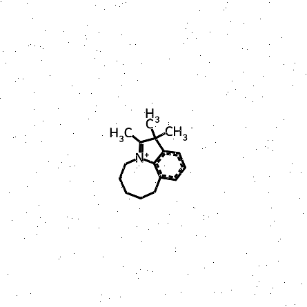 CC1=[N+]2CCCCCc3cccc(c32)C1(C)C